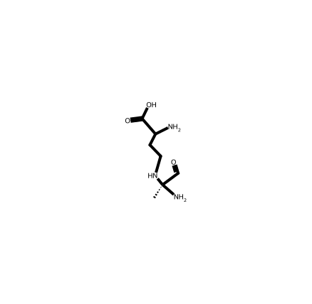 C[C@@](N)(C=O)NCCC(N)C(=O)O